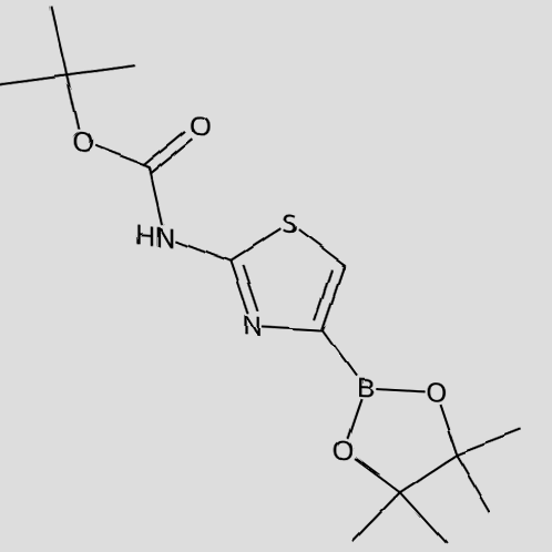 CC(C)(C)OC(=O)Nc1nc(B2OC(C)(C)C(C)(C)O2)cs1